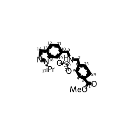 COC(=O)c1ccc(CN(Cc2ccc3cnn(C(C)C)c3c2)[SH](=O)=O)cc1